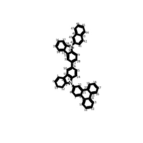 C1=Cc2c(n(-c3ccc4c5ccccc5c5ccccc5c4c3)c3ccc(-c4ccc5c(c4)c4ccccc4n5-c4ccc5ccccc5c4)cc23)CC1